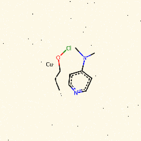 CCCOCl.CN(C)c1ccncc1.[Cu]